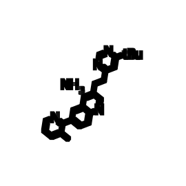 Cc1cccnc1-c1ccc2ncc(CCc3cc(C(C)(C)C)ncn3)cc2c1.N